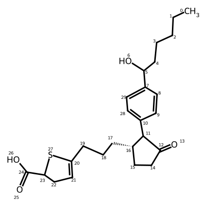 CCCCCC(O)c1ccc(C2C(=O)CC[C@@H]2CCCC2=CCC(C(=O)O)S2)cc1